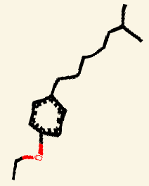 CCOc1ccc(CCCCC[C](C)C)cc1